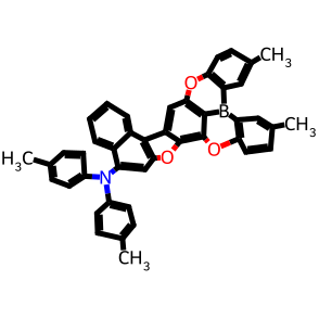 Cc1ccc(N(c2ccc(C)cc2)c2cc3oc4c5c6c(cc4c3c3ccccc23)Oc2ccc(C)cc2B6c2cc(C)ccc2O5)cc1